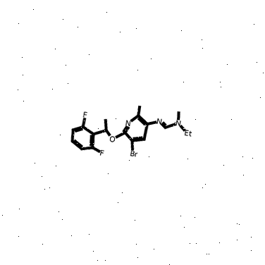 CCN(C)/C=N/c1cc(Br)c(OC(C)c2c(F)cccc2F)nc1C